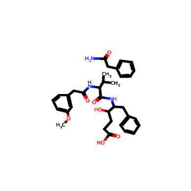 COc1cccc(CC(=O)NC(C(=O)NC(Cc2ccccc2)C(O)CCC(=O)O)C(C)C)c1.NC(=O)Cc1ccccc1